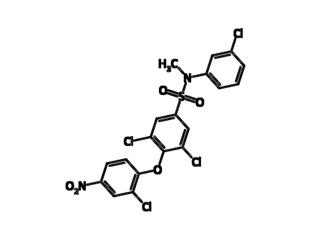 CN(c1cccc(Cl)c1)S(=O)(=O)c1cc(Cl)c(Oc2ccc([N+](=O)[O-])cc2Cl)c(Cl)c1